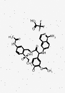 CCOc1cc(C(Nc2ccc3c(N)nccc3c2)C(=O)NCc2cc(NC(C)=O)ccc2S(=O)(=O)CC)ccc1Cl.O=C(O)C(F)(F)F